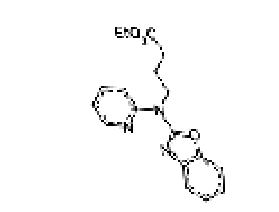 CCOC(=O)CCCN(c1ccccn1)c1nc2ccccc2o1